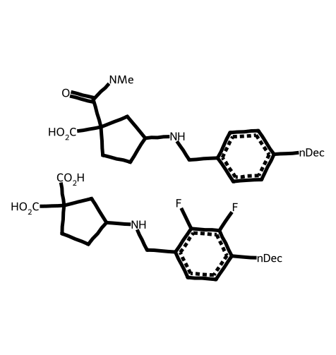 CCCCCCCCCCc1ccc(CNC2CCC(C(=O)O)(C(=O)NC)C2)cc1.CCCCCCCCCCc1ccc(CNC2CCC(C(=O)O)(C(=O)O)C2)c(F)c1F